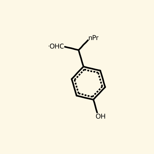 CCCC([C]=O)c1ccc(O)cc1